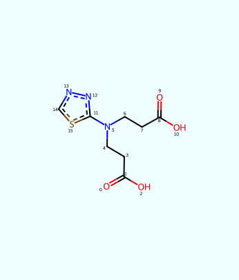 O=C(O)CCN(CCC(=O)O)c1nncs1